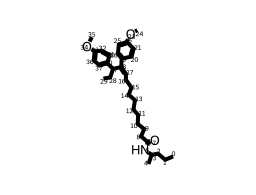 CCCC(C)NC(=O)CCCCCCCCCC=C(c1ccc(OC)cc1)C(CC)c1ccc(OC)cc1